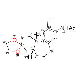 CC[C@]12CCC3(C[C@H]1CCCc1cc(NC(C)=O)c(C)cc12)OCCO3